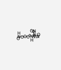 COc1cncc(-c2cc(Nc3cccc(OCCOCCOCCNC(C)=O)c3)nc(C3CCCN(C(C)=O)C3)n2)c1